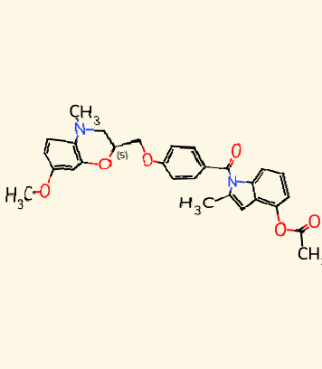 COc1ccc2c(c1)O[C@H](COc1ccc(C(=O)n3c(C)cc4c(OC(C)=O)cccc43)cc1)CN2C